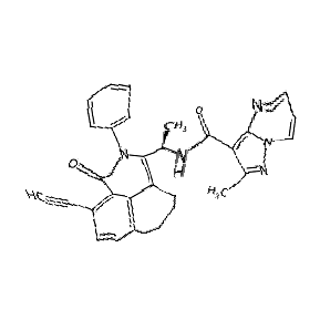 C#Cc1ccc2c3c(c([C@@H](C)NC(=O)c4c(C)nn5cccnc45)n(-c4ccccc4)c(=O)c13)CC2